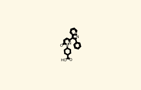 O=C(O)C1CCC(n2nc(-c3c(-c4ccccc4)nn4ccccc34)ccc2=O)CC1